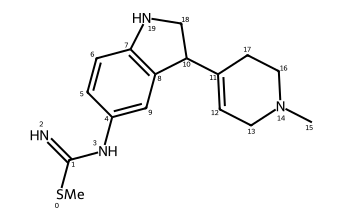 CSC(=N)Nc1ccc2c(c1)C(C1=CCN(C)CC1)CN2